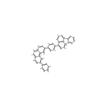 c1ccc2c(c1)-c1cccc3c(-c4ccc(-c5ccc6ccc7ccc(-c8ccncc8)nc7c6n5)cc4)ccc-2c13